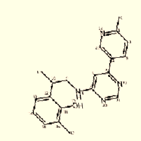 Cc1ccc(-c2cc(NCC(C)c3cccc(C)c3O)ncn2)cn1